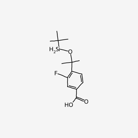 CC(C)(C)[SiH2]OC(C)(C)c1ccc(C(=O)O)cc1F